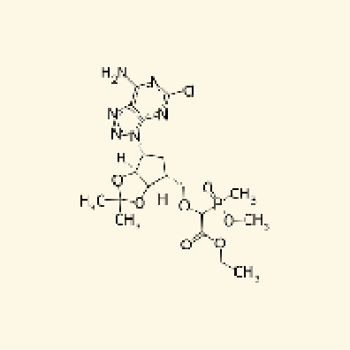 CCOC(=O)C(OC[C@H]1C[C@@H](n2nnc3c(N)nc(Cl)nc32)[C@@H]2OC(C)(C)O[C@H]12)P(C)(=O)OC